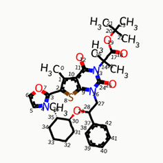 Cc1c(-c2ncco2)sc2c1c(=O)n(C(C)(C)C(=O)OC(C)(C)C)c(=O)n2CC(O[C@H]1CCCC[C@@H]1C)c1ccccc1